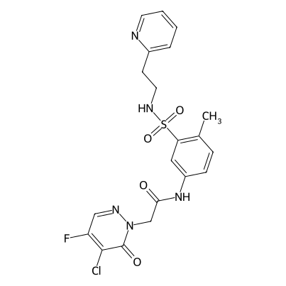 Cc1ccc(NC(=O)Cn2ncc(F)c(Cl)c2=O)cc1S(=O)(=O)NCCc1ccccn1